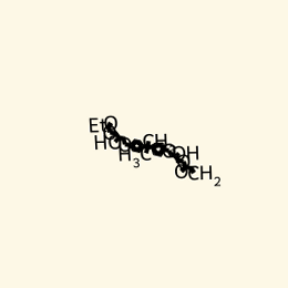 C=CC(=O)OCC(O)COc1ccc(C(C)(C)c2ccc(OCC(O)COC(=O)CC)cc2)cc1